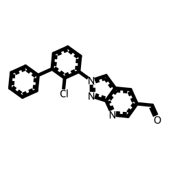 O=Cc1cnc2nn(-c3cccc(-c4ccccc4)c3Cl)cc2c1